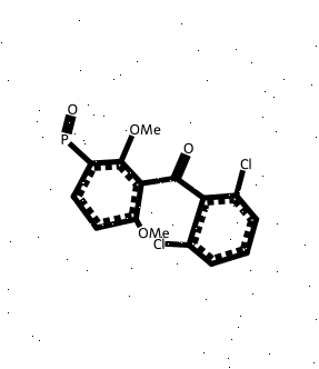 COc1ccc(P=O)c(OC)c1C(=O)c1c(Cl)cccc1Cl